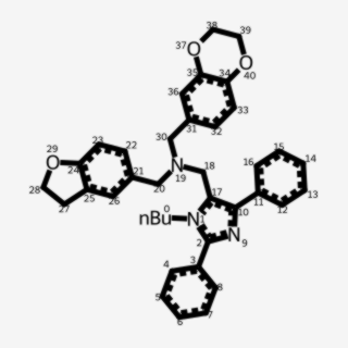 CCCCn1c(-c2ccccc2)nc(-c2ccccc2)c1CN(Cc1ccc2c(c1)CCO2)Cc1ccc2c(c1)OCCO2